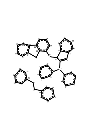 C1=C(P(c2ccccc2)c2ccccc2)[CH]([Ti][c]2cccc3c2Cc2ccccc2-3)c2ccccc21.c1ccc(CCc2ccccc2)cc1